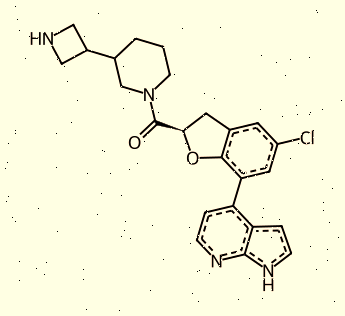 O=C([C@H]1Cc2cc(Cl)cc(-c3ccnc4[nH]ccc34)c2O1)N1CCCC(C2CNC2)C1